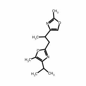 Cc1nc(C(C)Cc2nc(C(C)C)c(C)o2)co1